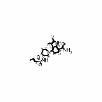 CC=CS(=O)(=O)N[C@@H]1CCCN(c2ccc(C(N)=O)c3[nH]c(C)c(C)c23)C1